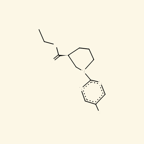 CCOC(=O)[C@H]1CCCN(c2ncc(F)cn2)C1